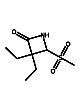 CCC1(CC)C(=O)NC1S(C)(=O)=O